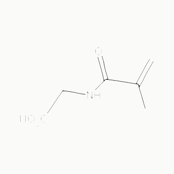 C=C(C)C(=O)NCC(=O)O